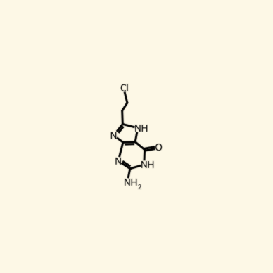 Nc1nc2nc(CCCl)[nH]c2c(=O)[nH]1